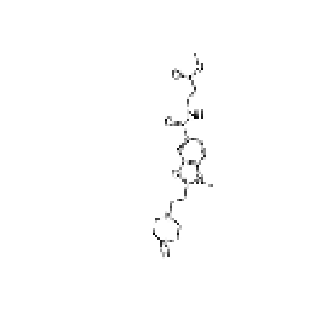 COC(=O)CCNC(=O)c1ccc2c(c1)nc(CCN1CCNCC1)n2C